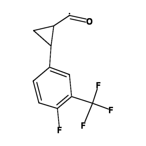 O=[C]C1CC1c1ccc(F)c(C(F)(F)F)c1